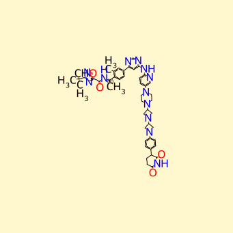 Cc1cc(-c2cc(Nc3ccc(N4CCN(C5CN(C6CN(c7ccc(C8CCC(=O)NC8=O)cc7)C6)C5)CC4)cn3)ncn2)ccc1[C@@H](C)NC(=O)c1nc(C(C)(C)C)no1